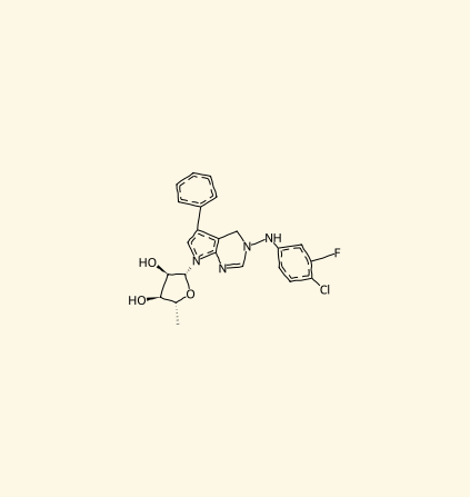 C[C@H]1O[C@@H](n2cc(-c3ccccc3)c3c2N=CN(Nc2ccc(Cl)c(F)c2)C3)[C@H](O)[C@@H]1O